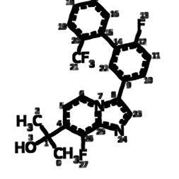 CC(C)(O)c1ccn2c(-c3ccc(F)c(-c4ccccc4C(F)(F)F)c3)cnc2c1F